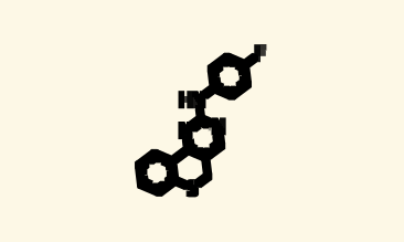 Fc1ccc(Nc2ncc3c(n2)-c2ccccc2SC3)cc1